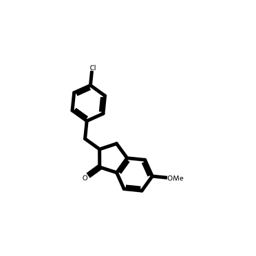 COc1ccc2c(c1)CC(Cc1ccc(Cl)cc1)C2=O